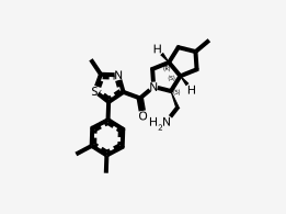 Cc1nc(C(=O)N2C[C@@H]3CC(C)C[C@@H]3[C@H]2CN)c(-c2ccc(C)c(C)c2)s1